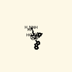 Cc1cc(C)c(S(=O)(=O)N(C(=O)OCc2cccc3c2Cc2ccccc2-3)C(CCCNC(=N)N)C(=O)O)c(C)c1